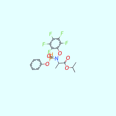 CC(C)OC(=O)C(C)N(Oc1c(F)c(F)c(F)c(F)c1F)[P@@H](=O)Oc1ccccc1